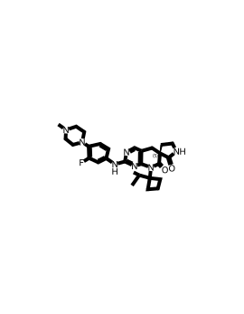 CC(C)C1(N2C(=O)[C@]3(CCNC3=O)Cc3cnc(Nc4ccc(N5CCN(C)CC5)c(F)c4)nc32)CCC1